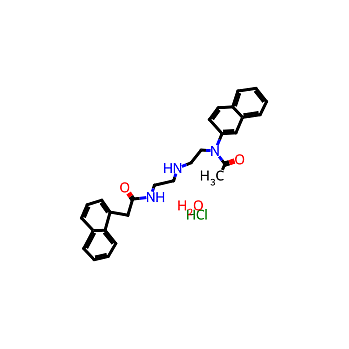 CC(=O)N(CCNCCNC(=O)Cc1cccc2ccccc12)c1ccc2ccccc2c1.Cl.O